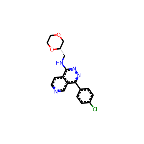 Clc1ccc(-c2nnc(NC[C@H]3COCCO3)c3ccncc23)cc1